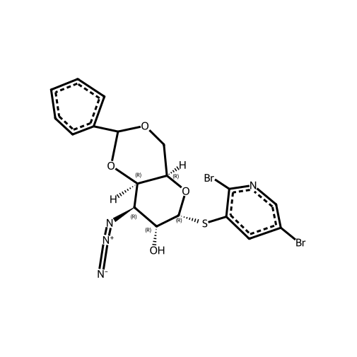 [N-]=[N+]=N[C@@H]1[C@@H](O)[C@@H](Sc2cc(Br)cnc2Br)O[C@@H]2COC(c3ccccc3)O[C@H]12